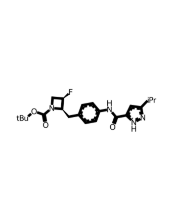 CC(C)c1cc(C(=O)Nc2ccc(C[C@@H]3[C@H](F)CN3C(=O)OC(C)(C)C)cc2)[nH]n1